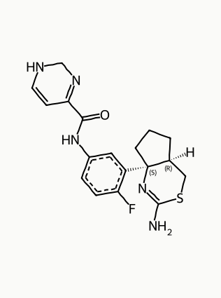 NC1=N[C@@]2(c3cc(NC(=O)C4=NCNC=C4)ccc3F)CCC[C@H]2CS1